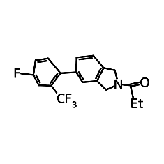 CCC(=O)N1Cc2ccc(-c3ccc(F)cc3C(F)(F)F)cc2C1